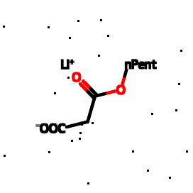 CCCCCOC(=O)CC(=O)[O-].[Li+]